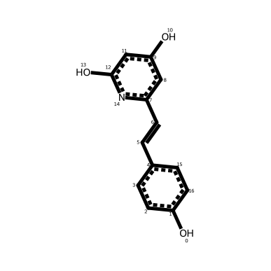 Oc1ccc(C=Cc2cc(O)cc(O)n2)cc1